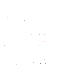 CCCc1cccc(CCC(=O)NCC)n1